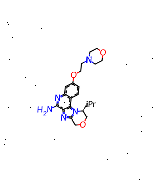 CC(C)[C@H]1COCc2nc3c(N)nc4cc(OCCN5CCOCC5)ccc4c3n21